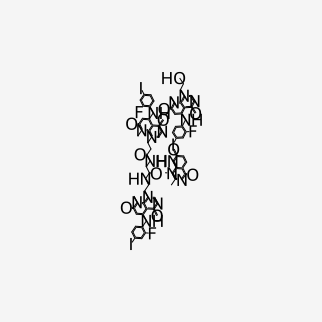 Cc1nc(=O)c2ccc(=O)[nH]c2n1C.Cn1c(=O)cc(Nc2ccc(I)cc2F)c2c(=O)ncn(CCNC(=O)CNC(=O)CCn3cnc(=O)c4c(Nc5ccc(I)cc5F)cc(=O)n(C)c43)c21.Cn1c(=O)cc(Nc2ccc(I)cc2F)c2c(=O)ncn(CCO)c21